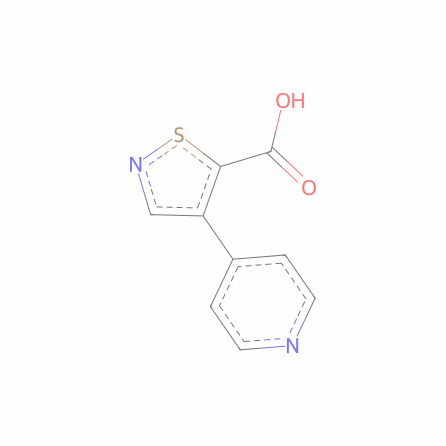 O=C(O)c1sncc1-c1ccncc1